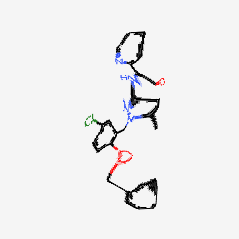 Cc1cc(NC(=O)c2ccccn2)nn1Cc1cc(Cl)ccc1OCc1ccccc1